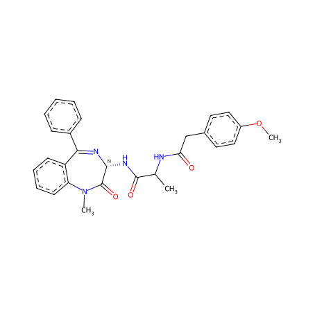 COc1ccc(CC(=O)NC(C)C(=O)N[C@H]2N=C(c3ccccc3)c3ccccc3N(C)C2=O)cc1